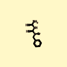 N=C(N)NC(=N)N(Br)Cc1ccccc1